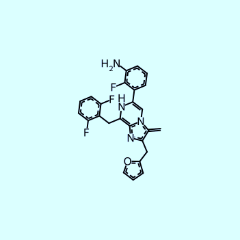 C=c1c(Cc2ccco2)nc2n1C=C(c1cccc(N)c1F)NC=2Cc1c(F)cccc1F